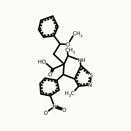 COC(CC1(C(=O)O)C(C)Nc2snc(C)c2C1c1cccc([N+](=O)[O-])c1)c1ccccc1